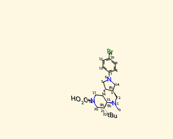 CN(C[C@H]1CCN(c2ccc(Br)cc2)C1)[C@@H]1CCN(C(=O)O)C[C@H]1C(C)(C)C